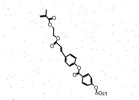 C=C(C)C(=O)OCCOC(=O)/C=C/c1ccc(OC(=O)c2ccc(OCCCCCCCC)cc2)cc1